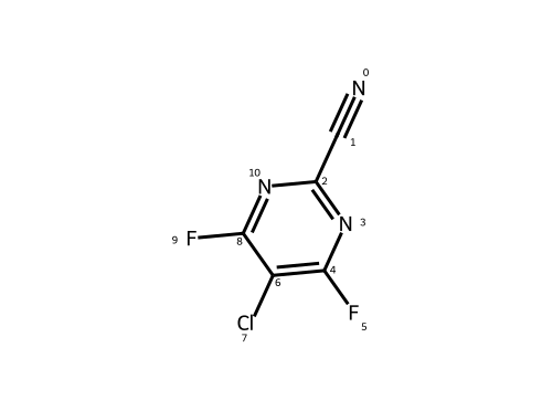 N#Cc1nc(F)c(Cl)c(F)n1